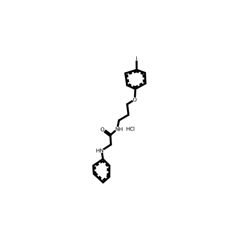 Cl.O=C(CNc1ccccc1)NCCCOc1ccc(I)cc1